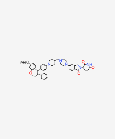 COc1ccc2c(c1)OCCC(c1ccccc1)=C2c1ccc(N2CCC(CN3CCN(c4ccc5c(c4)CN(C4CCC(=O)NC4=O)C5=O)CC3)CC2)cc1